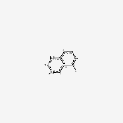 Cc1cccc2nnncc12